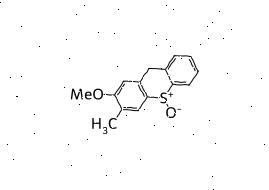 COc1cc2c(cc1C)[S+]([O-])c1ccccc1C2